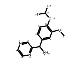 COc1cc(C(N)c2cnccn2)ccc1OC(F)F